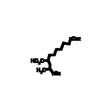 CCCCCCCCCCCCCCCCC(CC(C)CCCC)C(=O)O